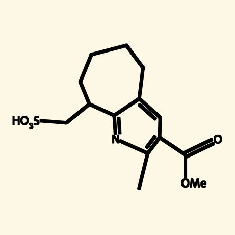 COC(=O)c1cc2c(nc1C)C(CS(=O)(=O)O)CCCC2